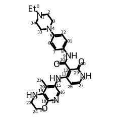 CCN1CCN(c2ccc(NC(=O)c3c(Nc4cnc5c(c4C)NCCO5)cc[nH]c3=O)cc2)CC1